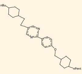 CCCCCC1CCC(COc2ccc(-c3ncc(CCC4CCC(CCCC)CC4)cn3)cc2)CC1